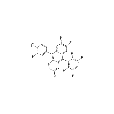 Fc1ccc2c(-c3ccc(F)c(F)c3)c3cc(F)c(F)cc3c(-c3c(F)c(F)cc(F)c3F)c2c1